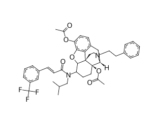 CC(=O)Oc1ccc2c3c1OC1C(N(CC(C)C)C(=O)/C=C/c4cccc(C(F)(F)F)c4)CC[C@@]4(OC(C)=O)[C@@H](C2)N(CCc2ccccc2)CC[C@]314